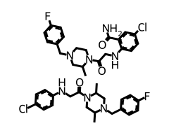 CC1CN(C(=O)CNc2ccc(Cl)cc2)C(C)CN1Cc1ccc(F)cc1.CC1CN(Cc2ccc(F)cc2)CCN1C(=O)CNc1ccc(Cl)cc1C(N)=O